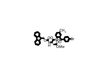 COC(=O)C[C@H](NC(=O)OCC1c2ccccc2-c2ccccc21)C(=O)Nc1ccc(C)cc1C(=O)c1ccc(Br)cc1